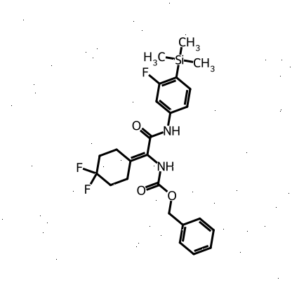 C[Si](C)(C)c1ccc(NC(=O)C(NC(=O)OCc2ccccc2)=C2CCC(F)(F)CC2)cc1F